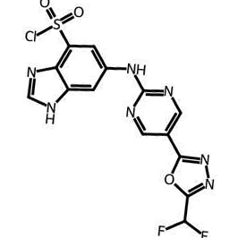 O=S(=O)(Cl)c1cc(Nc2ncc(-c3nnc(C(F)F)o3)cn2)cc2[nH]cnc12